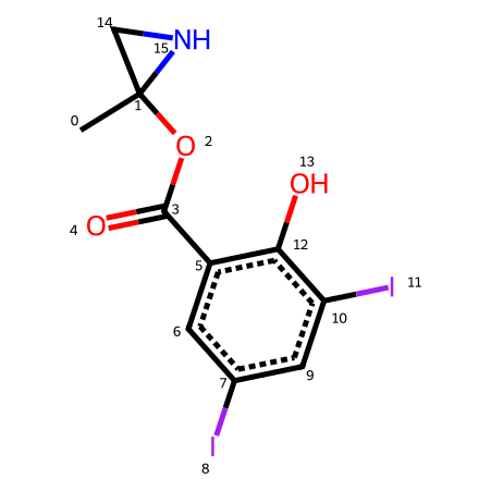 CC1(OC(=O)c2cc(I)cc(I)c2O)CN1